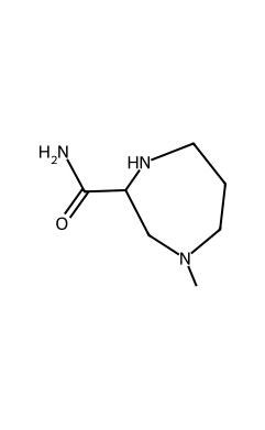 CN1CCCNC(C(N)=O)C1